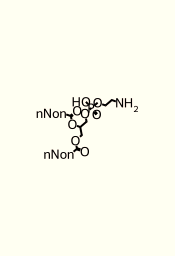 CCCCCCCCCC(=O)OCC(COP(=O)(O)OCCN)OC(=O)CCCCCCCCC